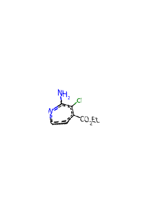 CCOC(=O)c1ccnc(N)c1Cl